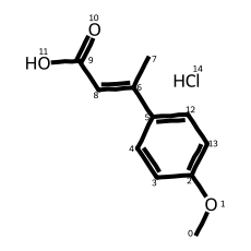 COc1ccc(C(C)=CC(=O)O)cc1.Cl